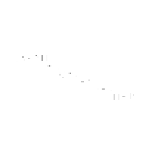 CC(C)(C)NCCOCCOCCNC(C)(C)C